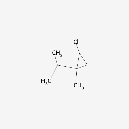 CC(C)C1(C)CC1Cl